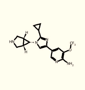 Nc1ncc(-c2cn([C@@H]3[C@@H]4CNC[C@@H]43)c(C3CC3)n2)cc1OC(F)(F)F